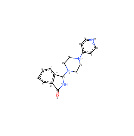 O=C1NC(N2CCN(c3ccncc3)CC2)c2ccccc21